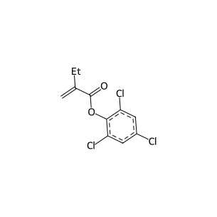 C=C(CC)C(=O)Oc1c(Cl)cc(Cl)cc1Cl